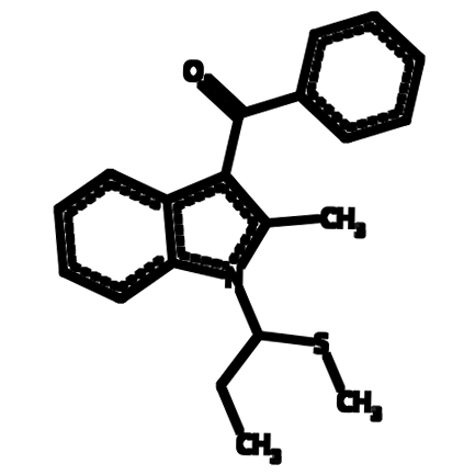 CCC(SC)n1c(C)c(C(=O)c2ccccc2)c2ccccc21